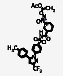 CC(=O)OC(C)O/N=[N+](\[O-])N1CCCC(C(=O)NS(=O)(=O)c2ccc(-n3nc(C(F)(F)F)cc3-c3ccc(C)cc3)cc2)C1